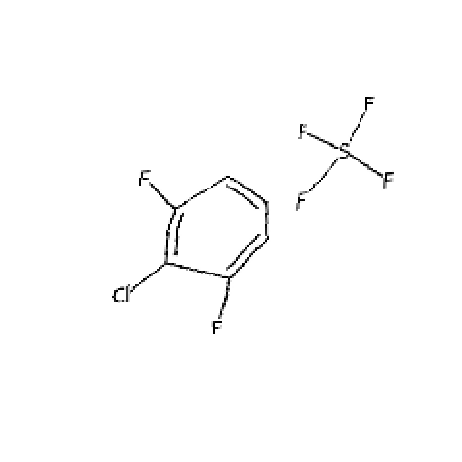 FS(F)(F)F.Fc1cccc(F)c1Cl